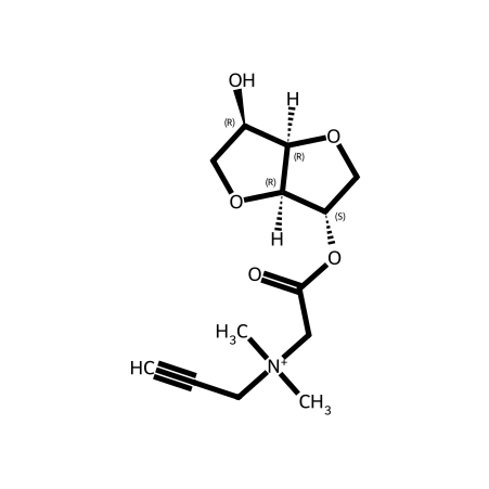 C#CC[N+](C)(C)CC(=O)O[C@H]1CO[C@H]2[C@@H]1OC[C@H]2O